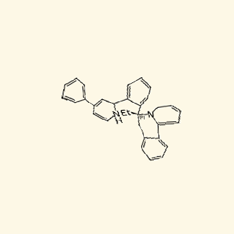 CC[C@]1(c2ccccc2C2C=C(c3ccccc3)C=CN2)Cc2ccccc2C2=CC=CCN21